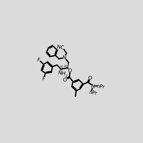 CCCN(CCC)C(=O)c1cc(C)cc(C(=O)O[C@H](CN(CC#N)Cc2ccccc2)[C@@H](N)Cc2cc(F)cc(F)c2)c1